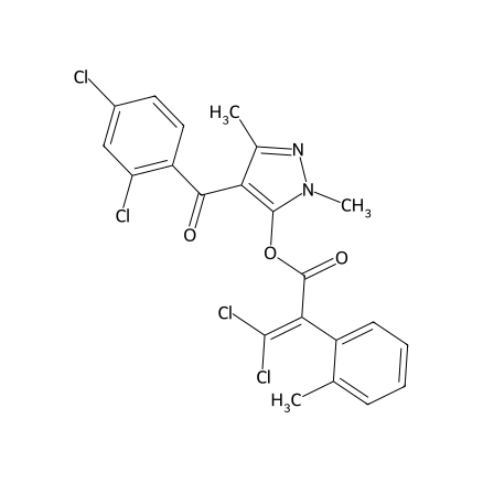 Cc1ccccc1C(C(=O)Oc1c(C(=O)c2ccc(Cl)cc2Cl)c(C)nn1C)=C(Cl)Cl